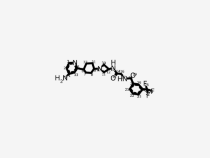 Nc1ccnc(C2CCC(N3CC(NC(=O)CNC(=O)c4cccc(C(F)(F)F)c4)C3)CC2)c1